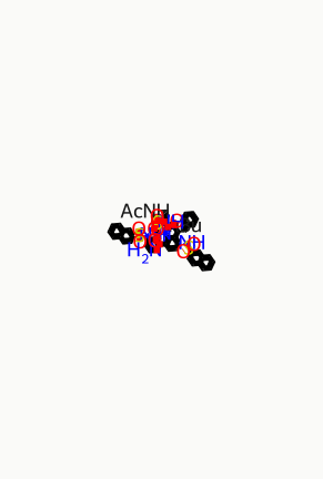 CCCCC(C(=O)CNC(C)=O)N(C(=O)c1ccccc1NS(=O)(=O)c1ccc2ccccc2c1)c1c(C(N)=O)ccc(NS(=O)(=O)c2ccc3ccccc3c2)c1[C@H](Cc1ccccc1)C(=O)CNS(C)(=O)=O